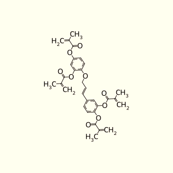 C=C(C)C(=O)Oc1ccc(OC/C=C/c2ccc(OC(=O)C(=C)C)c(OC(=O)C(=C)C)c2)c(OC(=O)C(=C)C)c1